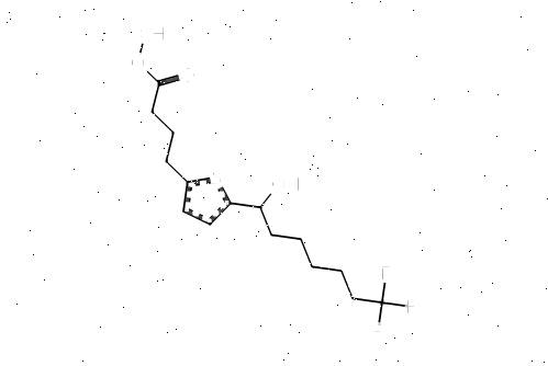 COC(=O)CCCc1ccc(C(O)CCCCCC(F)(F)F)s1